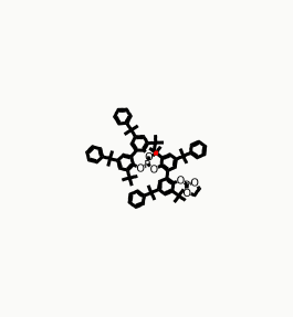 CC(C)(C)c1cc(C(C)(C)c2ccccc2)cc(-c2cc(C(C)(C)c3ccccc3)cc(C(C)(C)C)c2Op2oc3c(C(C)(C)C)cc(C(C)(C)c4ccccc4)cc3c3cc(C(C)(C)c4ccccc4)cc(C(C)(C)C)c3o2)c1OP1OCCO1